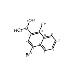 OB(O)c1cc(Br)c2ccccc2c1F